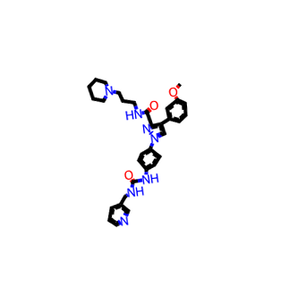 COc1cccc(-c2cn(-c3ccc(NC(=O)NCc4cccnc4)cc3)nc2C(=O)NCCCN2CCCCC2)c1